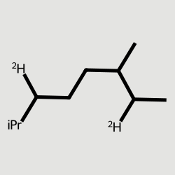 [2H]C(C)C(C)CCC([2H])C(C)C